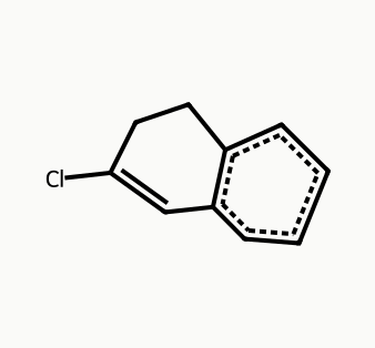 ClC1=Cc2ccccc2CC1